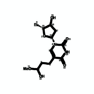 CC[C@H]1O[C@@H](n2cc(CCC(O)OC)c(=O)[nH]c2=O)CC1O